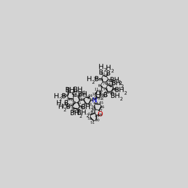 Bc1c(B)c(B)c2c(cc(-c3ccc(N(c4ccc(-c5c(B)c6c(B)c(B)c(B)c(B)c6c6c(B)c(B)c(B)c(B)c56)cc4)c4ccc5oc6ccccc6c5c4)cc3)c3c(B)c(B)c(B)c(B)c32)c1B